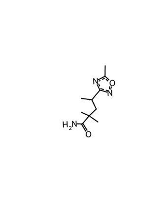 C[C](CC(C)(C)C(N)=O)c1noc(C)n1